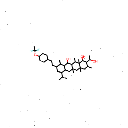 CC(C)C1CC(CCC2CCC(OC(C)(F)F)CC2)C(C)C2C(O)C3C(C)C4(C)C(O)C(C(C)O)C(C)CC4(C)CC3(C)CC12